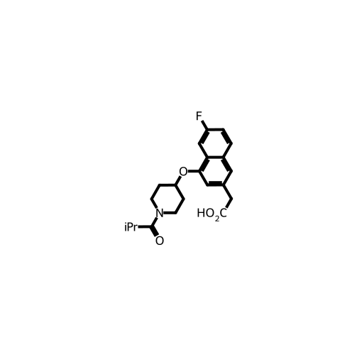 CC(C)C(=O)N1CCC(Oc2cc(CC(=O)O)cc3ccc(F)cc23)CC1